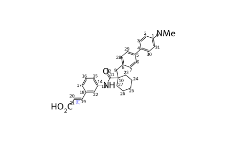 CNc1ccc(-c2ccc(CC3(C(=O)Nc4cccc(/C=C/C(=O)O)c4)CCCCC3)cc2)cc1